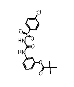 CC(C)(C)C(=O)Oc1cccc(NC(=O)NS(=O)(=O)c2ccc(Cl)cc2)c1